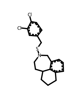 Clc1ccc(CSN2CCC3CCCc4cccc(c43)C2)cc1Cl